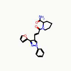 NC(=O)C1CCCCN1C(=O)C=Cc1cn(-c2ccccc2)nc1-c1ccco1